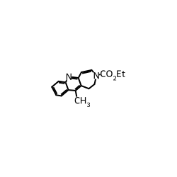 CCOC(=O)N1C=Cc2nc3ccccc3c(C)c2CC1